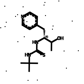 CC(O)[C@@H](Cc1ccncc1)NC(=S)NC(C)(C)C